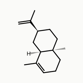 C=C(C)[C@H]1CC[C@@]2(C)CCC=C(C)[C@H]2C1